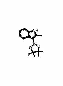 Cc1[nH]c2ccccc2c1B1OC(C)(C)C(C)(I)O1